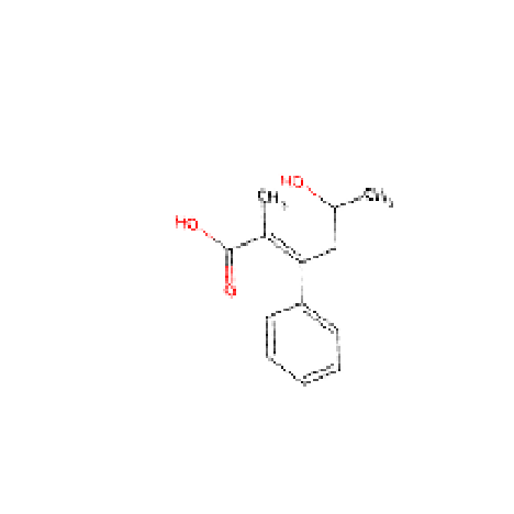 CC(C(=O)O)=C(CC(C)O)c1ccccc1